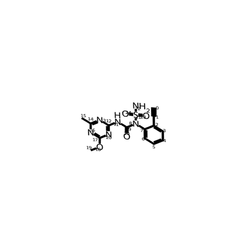 C#Cc1ccccc1N(C(=O)Nc1nc(C)nc(OC)n1)S(N)(=O)=O